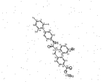 Cc1cc(C)c(-c2ccc(NC(=O)[C@H](Cc3ccc(C(=O)OC(C)(C)C)cc3)c3ccc(Br)cc3)cc2)c(C)c1